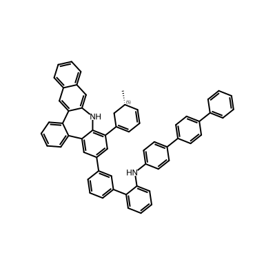 C[C@@H]1C=CC=C(c2cc(-c3cccc(-c4ccccc4Nc4ccc(-c5ccc(-c6ccccc6)cc5)cc4)c3)cc3c2Nc2cc4ccccc4cc2-c2ccccc2-3)C1